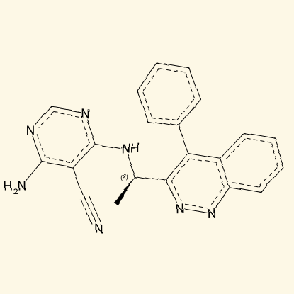 C[C@@H](Nc1ncnc(N)c1C#N)c1nnc2ccccc2c1-c1ccccc1